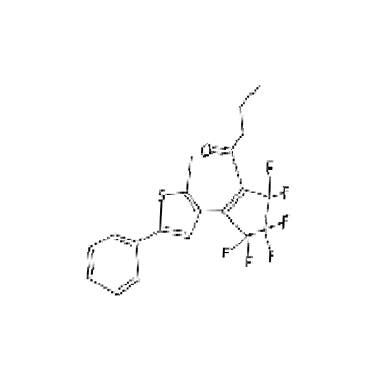 CCCC(=O)C1=C(c2cc(-c3ccccc3)sc2C)C(F)(F)C(F)(F)C1(F)F